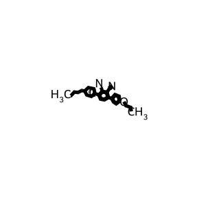 CCCCCC12CCC(c3ccc(-c4ccc(OCCC)cc4)c(C#N)c3C#N)(CC1)CC2